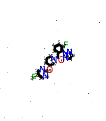 O=C(c1cccc(F)c1-n1nccn1)N1CCCC(Oc2ncc(F)cn2)C1